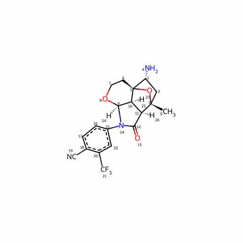 C[C@@]12C[C@@H](N)[C@]3(CCO[C@H]4[C@@H]3[C@@H]1C(=O)N4c1ccc(C#N)c(C(F)(F)F)c1)O2